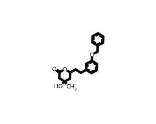 CC1(O)CC(=O)OC(CCc2cccc(OCc3ccccc3)c2)C1